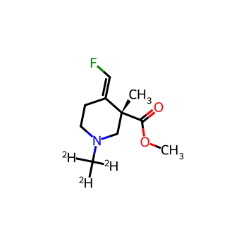 [2H]C([2H])([2H])N1CC/C(=C\F)[C@](C)(C(=O)OC)C1